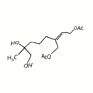 CC(=O)OCC=C(CCCC(C)(O)CO)COC(C)=O